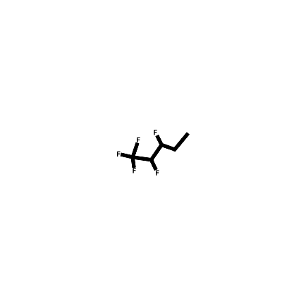 CCC(F)C(F)C(F)(F)F